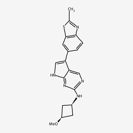 CO[C@H]1C[C@@H](Nc2ncc3c(-c4ccc5nc(C)sc5c4)c[nH]c3n2)C1